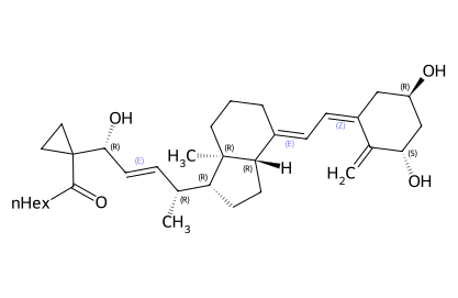 C=C1/C(=C\C=C2/CCC[C@]3(C)[C@@H]([C@H](C)/C=C/[C@@H](O)C4(C(=O)CCCCCC)CC4)CC[C@@H]23)C[C@@H](O)C[C@@H]1O